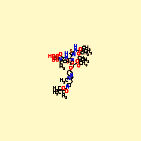 C[n+]1c(CC2CN(C(=O)OC(C)(C)C)C2)cn2cc(OCC(O/N=C(\C(=O)NC3C(=O)N(OS(=O)(=O)O)C3(C)C)c3csc(NC(=O)OC(C)(C)C)n3)C(=O)OC(C)(C)C)ccc21